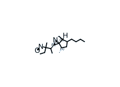 CCCCC1C[C@H](C)C23[C@@H]1C[N@@]2[C@@H]3C(C)C(C)(CC)N=O